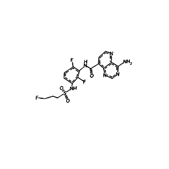 Nc1ncnc2c(C(=O)Nc3c(F)ccc(NS(=O)(=O)CCCF)c3F)ccnc12